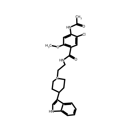 COc1cc(NC(C)=O)c(Cl)cc1C(=O)NCCN1CCC(c2c[nH]c3ccccc23)CC1